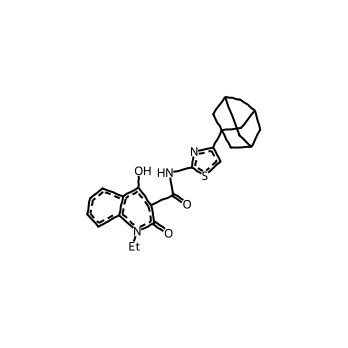 CCn1c(=O)c(C(=O)Nc2nc(C34CC5CC(CC(C5)C3)C4)cs2)c(O)c2ccccc21